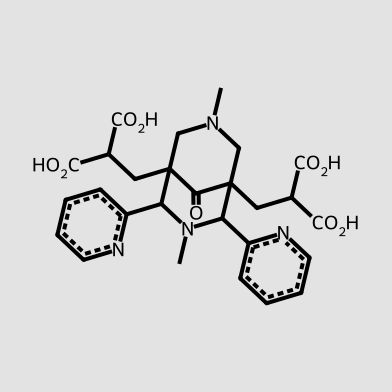 CN1CC2(CC(C(=O)O)C(=O)O)C(=O)C(CC(C(=O)O)C(=O)O)(C1)C(c1ccccn1)N(C)C2c1ccccn1